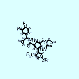 CC(C)n1cc(-c2cc(CN3CCSC3=N)cc(C(=O)NC(c3ccc(F)c(F)c3)C3CC3)c2)c(C(F)(F)F)n1